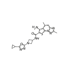 Cc1nc2cc(C)c3c(N)c(C(=O)NC4CN(c5nnc(C6CC6)o5)C4)sc3n2n1